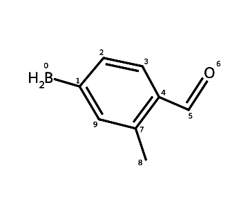 Bc1ccc(C=O)c(C)c1